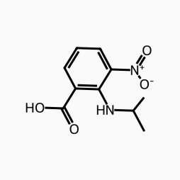 CC(C)Nc1c(C(=O)O)cccc1[N+](=O)[O-]